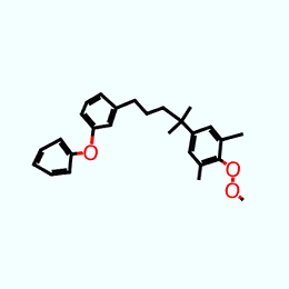 COOc1c(C)cc(C(C)(C)CCCc2cccc(Oc3ccccc3)c2)cc1C